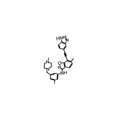 Cc1cc(CN2CCN(C)CC2)cc(Nc2noc3c(C#Cc4ccc5[nH]nnc5c4)c(C)ccc23)c1